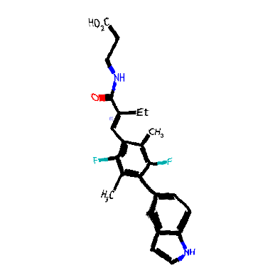 CC/C(=C\c1c(C)c(F)c(-c2ccc3[nH]ccc3c2)c(C)c1F)C(=O)NCCC(=O)O